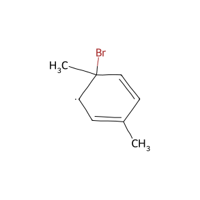 CC1=C[CH]C(C)(Br)C=C1